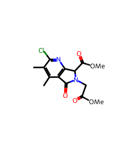 COC(=O)CN1C(=O)c2c(nc(Cl)c(C)c2C)C1C(=O)OC